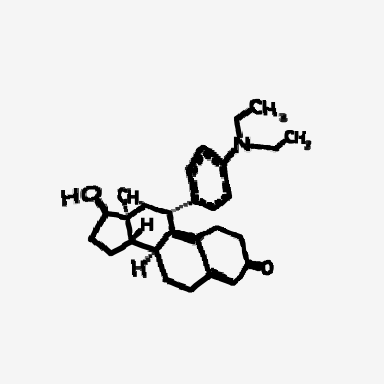 CCN(CC)c1ccc([C@H]2C[C@]3(C)C(O)CC[C@H]3[C@@H]3CCC4=CC(=O)CCC4=C32)cc1